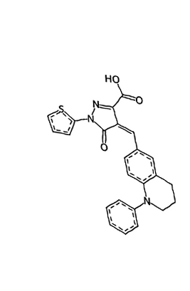 O=C(O)C1=NN(c2cccs2)C(=O)/C1=C\c1ccc2c(c1)CCCN2c1ccccc1